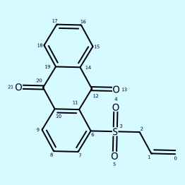 C=CCS(=O)(=O)c1cccc2c1C(=O)c1ccccc1C2=O